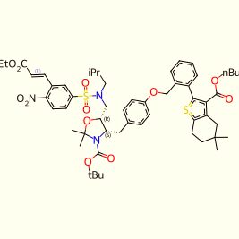 CCCCOC(=O)c1c(-c2ccccc2COc2ccc(C[C@H]3[C@@H](CN(CC(C)C)S(=O)(=O)c4ccc([N+](=O)[O-])c(/C=C/C(=O)OCC)c4)OC(C)(C)N3C(=O)OC(C)(C)C)cc2)sc2c1CC(C)(C)CC2